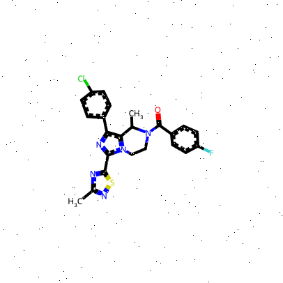 Cc1nsc(-c2nc(-c3ccc(Cl)cc3)c3n2CCN(C(=O)c2ccc(F)cc2)C3C)n1